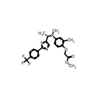 COC(=O)COc1ccc(N(C)[C@H](C)c2cnc(-c3ccc(C(F)(F)F)cc3)s2)cc1C